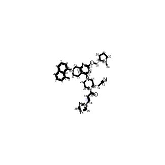 Cc1cccc2cccc(N3CCc4c(nc(OC[C@@H]5CCCN5C)nc4N4CCN(C(=O)/C=C/n5cncn5)[C@@H](CC#N)C4)C3)c12